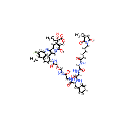 CC[C@@]1(O)C(=O)OCc2c1cc1n(c2=O)Cc2c-1nc1cc(F)c(C)c3c1c2[C@@H](NC(=O)COCNC(=O)CNC(=O)[C@H](Cc1ccccc1)NC(=O)CNC(=O)CNC(=O)CCCCCN1C(=O)CC(C)C1=O)CC3